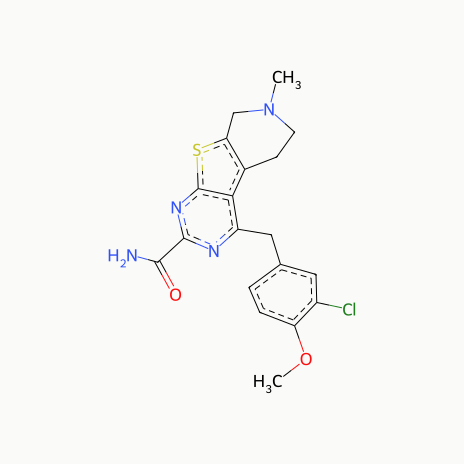 COc1ccc(Cc2nc(C(N)=O)nc3sc4c(c23)CCN(C)C4)cc1Cl